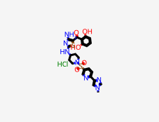 Cl.Cn1cnc(-c2ccc(S(=O)(=O)N3CCC(Nc4nc(N)c(C(=O)c5c(O)cccc5O)s4)CC3)cn2)c1